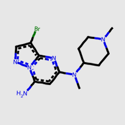 CN1CCC(N(C)c2cc(N)n3ncc(Br)c3n2)CC1